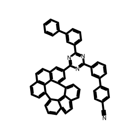 N#Cc1ccc(-c2cccc(-c3nc(-c4cccc(-c5ccccc5)c4)nc(-c4cc5ccc6cccc7c8cccc9ccc%10cccc(c(c4)c5c67)c%10c98)n3)c2)cc1